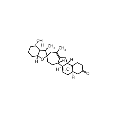 CC1=C2C[C@H]3[C@@H](CC[C@@H]4CC(=O)CC[C@@]43C)[C@@H]2CC[C@@]2(C1)O[C@@H]1CCCN(O)[C@H]1[C@H]2C